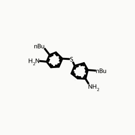 CCCCc1cc(Sc2ccc(N)c(CCCC)c2)ccc1N